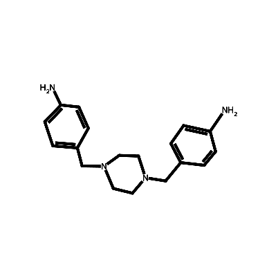 Nc1ccc(CN2CCN(Cc3ccc(N)cc3)CC2)cc1